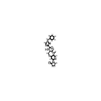 CN1C(=O)[C@@H](NC(=O)c2ncn(Cc3ccccc3)n2)CSc2cc(N3CCCC3=O)ncc21